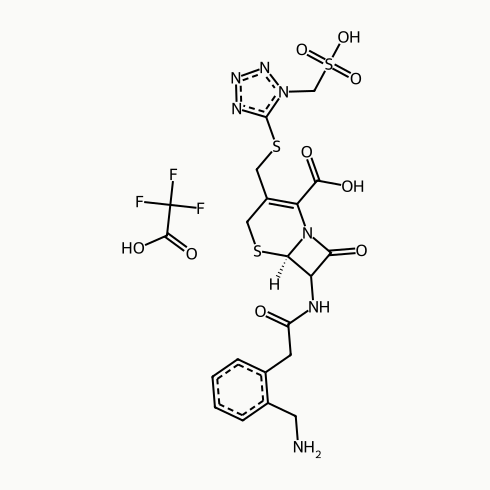 NCc1ccccc1CC(=O)NC1C(=O)N2C(C(=O)O)=C(CSc3nnnn3CS(=O)(=O)O)CS[C@H]12.O=C(O)C(F)(F)F